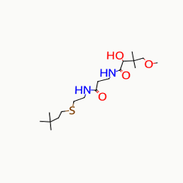 COCC(C)(C)C(O)C(=O)NCCC(=O)NCCSCCC(C)(C)C